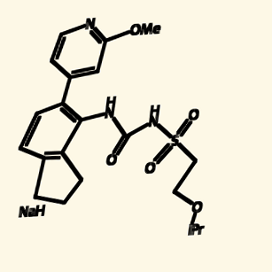 COc1cc(-c2ccc3c(c2NC(=O)NS(=O)(=O)CCOC(C)C)CCC3)ccn1.[NaH]